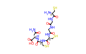 NC(=O)C[C@H](NC(=O)[C@H](CS)NC(=O)[C@H](CS)NC(=O)CNC(=O)CNC(=O)[C@@H](N)CS)C(=O)O